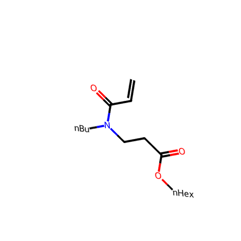 C=CC(=O)N(CCCC)CCC(=O)OCCCCCC